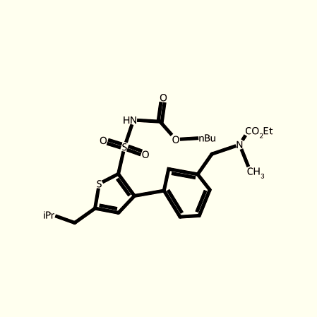 CCCCOC(=O)NS(=O)(=O)c1sc(CC(C)C)cc1-c1cccc(CN(C)C(=O)OCC)c1